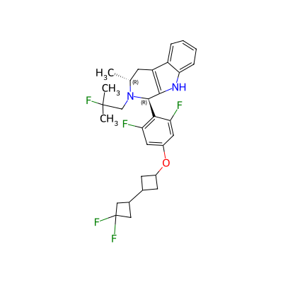 C[C@@H]1Cc2c([nH]c3ccccc23)[C@@H](c2c(F)cc(OC3CC(C4CC(F)(F)C4)C3)cc2F)N1CC(C)(C)F